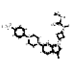 Cc1cn([C@H]2C[C@H](N(C)C(=O)OC(C)(C)C)C2)c2nc(N3CCN(c4ccc(C(=O)O)cc4)CC3)ccc12